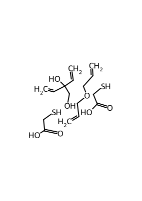 C=CC(O)(C=C)CO.C=CCOCC=C.O=C(O)CS.O=C(O)CS